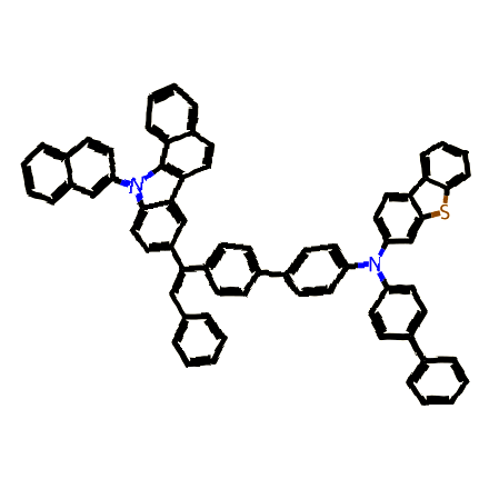 C(=C(/c1ccc(-c2ccc(N(c3ccc(-c4ccccc4)cc3)c3ccc4c(c3)sc3ccccc34)cc2)cc1)c1ccc2c(c1)c1ccc3ccccc3c1n2-c1ccc2ccccc2c1)/c1ccccc1